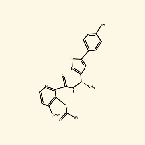 COc1ccnc(C(=O)N[C@@H](C)c2noc(-c3ccc(C(C)C)cc3)n2)c1OC(=O)C(C)C